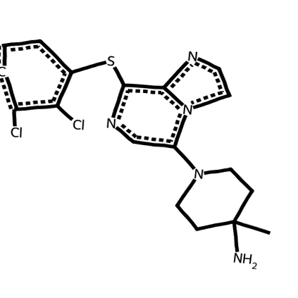 CC1(N)CCN(c2cnc(Sc3cccc(Cl)c3Cl)c3nccn23)CC1